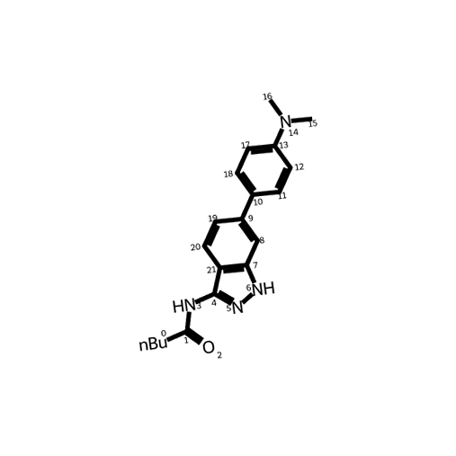 CCCCC(=O)Nc1n[nH]c2cc(-c3ccc(N(C)C)cc3)ccc12